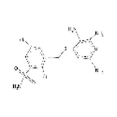 Nc1cc(SCc2cc(Cl)cc(S(N)(=O)=O)c2Cl)c(N)c(N)n1